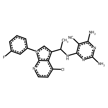 CC(Nc1nc(N)nc(N)c1C#N)c1cn(-c2cccc(F)c2)c2nccc(Cl)c12